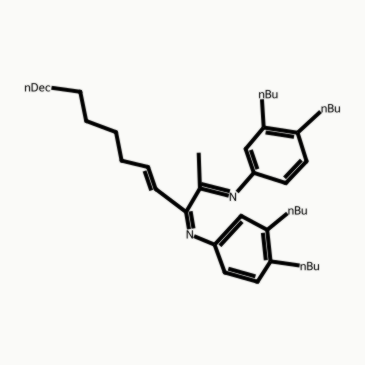 CCCCCCCCCCCCCCC=CC(=Nc1ccc(CCCC)c(CCCC)c1)C(C)=Nc1ccc(CCCC)c(CCCC)c1